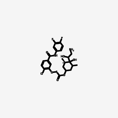 CC1CC(OC(=O)SOc2cc(C(=O)Nc3ccc(F)c(F)c3)ccc2Cl)C[C@@H](C)C1(O)C(O)CN